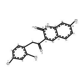 O=C(Cc1ccc(Cl)cc1Cl)c1cc2ccc(Cl)cc2[nH]c1=O